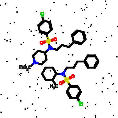 CC1CCCCC1N(CCCc1ccccc1)S(=O)(=O)c1ccc(Cl)cc1.CCOC(=O)N1CCC(N(CCCc2ccccc2)S(=O)(=O)c2ccc(Cl)cc2)CC1